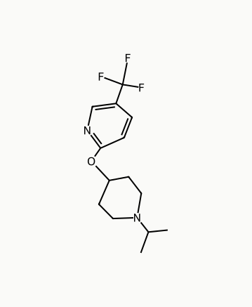 CC(C)N1CCC(Oc2ccc(C(F)(F)F)cn2)CC1